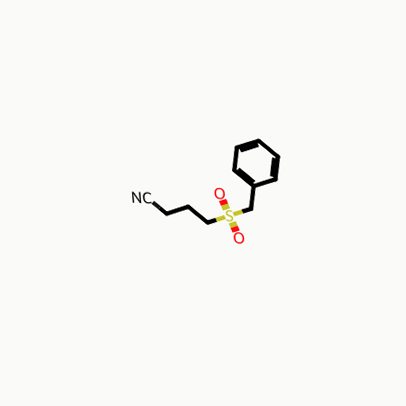 N#CCCCS(=O)(=O)Cc1ccccc1